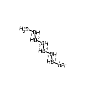 BBBBBBBCCC